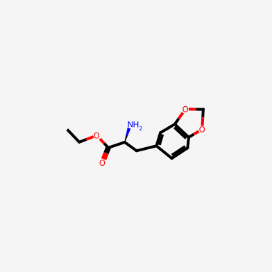 CCOC(=O)[C@@H](N)Cc1ccc2c(c1)OCO2